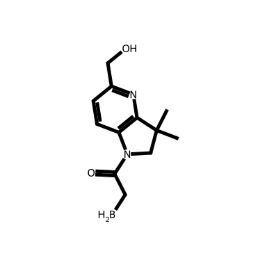 BCC(=O)N1CC(C)(C)c2nc(CO)ccc21